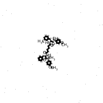 COc1ccc(N(C)C(=O)[C@H](CC2=CC(C)CC=C2)NC(=O)CCCCC(=O)N[C@@H](Cc2ccccc2)C(=O)N(C)c2ccc(OC)cc2)cc1